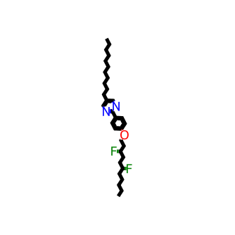 CCCCCCCCCCCc1cnc(-c2ccc(OCCC(F)CCC(F)CCCCC)cc2)nc1